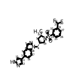 C[C@H]1C[C@@H](Cn2ncc3cc(-c4cn[nH]c4)ccc32)CN1S(=O)(=O)c1cccc(C(F)F)c1